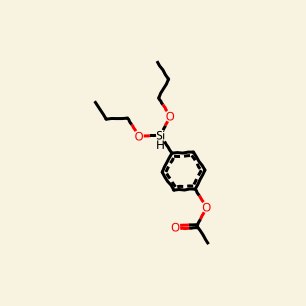 CCCO[SiH](OCCC)c1ccc(OC(C)=O)cc1